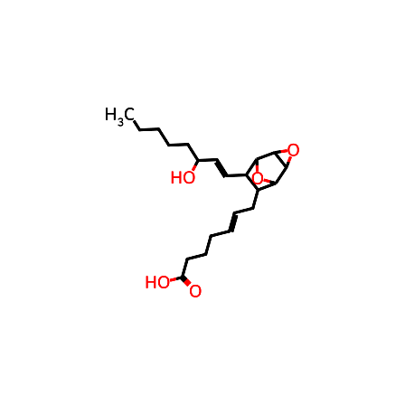 CCCCCC(O)/C=C/C1C(C/C=C/CCCC(=O)O)C2OC1C1OC21